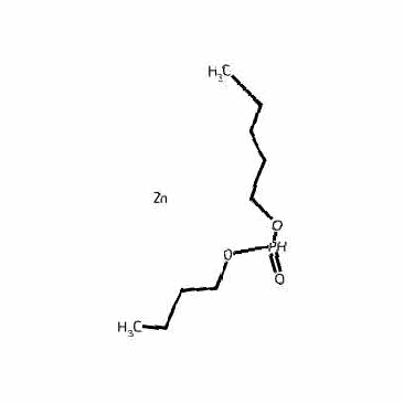 CCCCCO[PH](=O)OCCCC.[Zn]